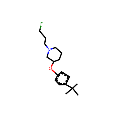 CC(C)(C)c1ccc(OC2CCCN(CCCF)C2)cc1